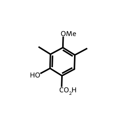 COc1c(C)cc(C(=O)O)c(O)c1C